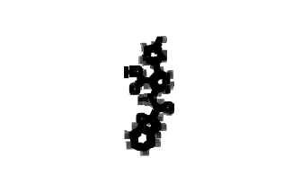 Cc1csc(-c2csc(NC(=O)c3cc4ccccc4o3)c2C(=O)O)n1